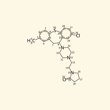 Cc1ccc2c(c1)CC(N1CCN(CCN3CCCC3=O)CC1)c1cc(Cl)ccc1S2